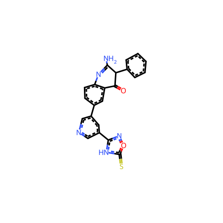 NC1=Nc2ccc(-c3cncc(-c4noc(=S)[nH]4)c3)cc2C(=O)C1c1ccccc1